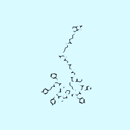 CC(C)C[C@H](NC(=O)[C@H](Cc1ccccc1)NC(=O)[C@@H](N)Cc1ccc(O)cc1)C(=O)N[C@@H](Cc1ccc(O)cc1)C(=O)N[C@@H](CC(C)C)C(=O)N1CCC[C@H]1C(=O)N[C@@H](Cc1ccc(O)cc1)C(=O)N[C@@H](Cc1c[nH]cn1)C(=O)N[C@H](C(=O)N[C@@H](CCCCN)C(=O)NCC(=O)NCC(=O)NCC(=O)N[C@@H](CCCCNC(=O)CCCC[C@@H]1SC[C@@H]2NC(=O)N[C@@H]21)C(N)=O)[C@@H](C)O